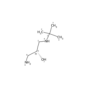 CC(C)(C)NC[C@H](O)CN